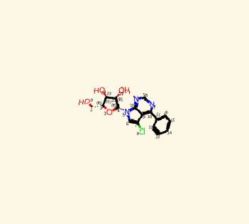 OC[C@H]1O[C@@H](n2cc(Cl)c3c(-c4c#cccc4)ncnc32)[C@H](O)[C@@H]1O